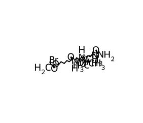 C=C(CBr)C(=O)OCCCCCC(=O)NCC(=O)N[C@@H](CCCNC(N)=O)C(=O)C(C)(C)C